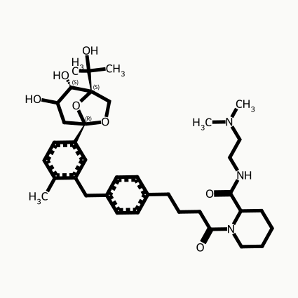 Cc1ccc([C@]23CC(O)[C@H](O)[C@](C(C)(C)O)(CO2)O3)cc1Cc1ccc(CCCC(=O)N2CCCCC2C(=O)NCCN(C)C)cc1